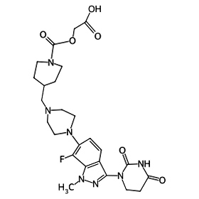 Cn1nc(N2CCC(=O)NC2=O)c2ccc(N3CCN(CC4CCN(C(=O)OCC(=O)O)CC4)CC3)c(F)c21